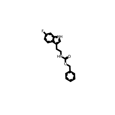 O=C(NCCc1c[nH]c2cc(F)ccc12)OCc1ccccc1